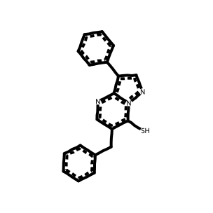 Sc1c(Cc2ccccc2)cnc2c(-c3ccccc3)cnn12